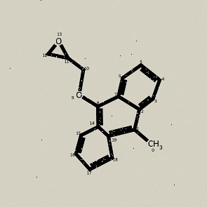 Cc1c2ccccc2c(OCC2CO2)c2ccccc12